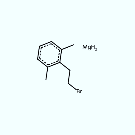 Cc1cccc(C)c1CCBr.[MgH2]